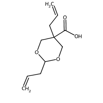 C=CCC1OCC(CC=C)(C(=O)O)CO1